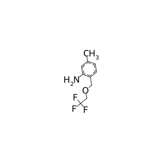 Cc1ccc(COCC(F)(F)F)c(N)c1